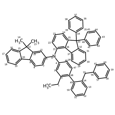 CCc1cc(N(c2ccc3c(c2)C(C)(C)c2ccccc2-3)c2cccc3c2-c2ccccc2C3(c2ccccc2)c2ccccc2)ccc1-c1ccccc1Cc1ccccc1